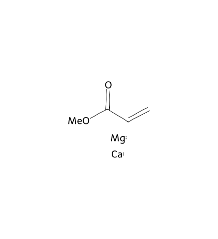 C=CC(=O)OC.[Ca].[Mg]